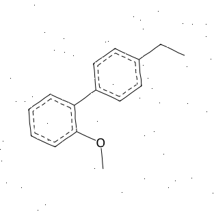 CCc1ccc(-c2ccccc2OC)cc1